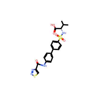 CC(C)[C@H](NS(=O)(=O)c1ccc(-c2ccc(NC(=O)c3csnn3)cc2)cc1)C(=O)O